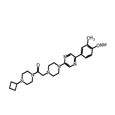 COc1ccc(-c2cnc(N3CCN(CC(=O)N4CCN(C5CCC5)CC4)CC3)cn2)cc1C